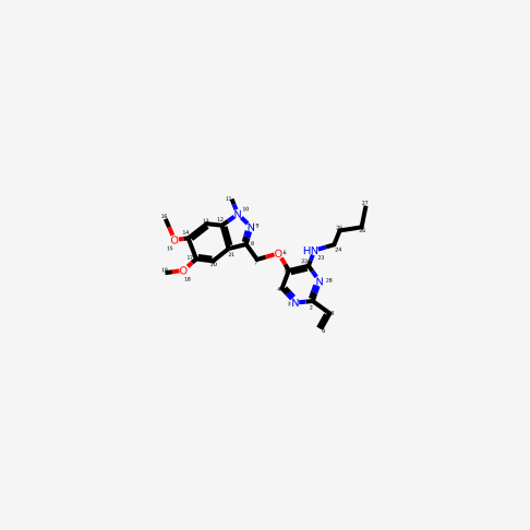 C=Cc1ncc(OCc2nn(C)c3cc(OC)c(OC)cc23)c(NCCCC)n1